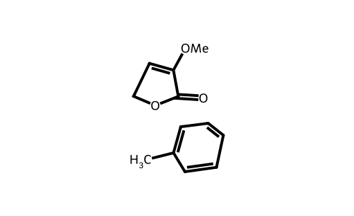 COC1=CCOC1=O.Cc1ccccc1